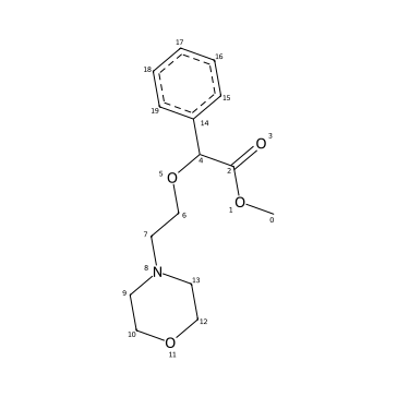 COC(=O)C(OCCN1CCOCC1)c1ccccc1